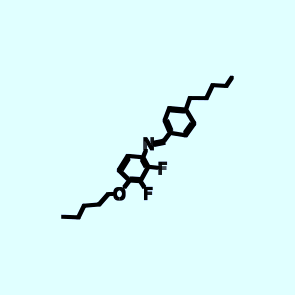 CCCCCOc1ccc(N=Cc2ccc(CCCCC)cc2)c(F)c1F